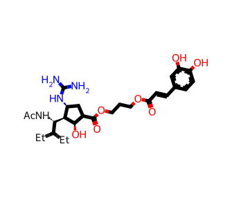 CCC(CC)[C@H](NC(C)=O)[C@@H]1[C@H](O)C(C(=O)OCCCOC(=O)/C=C/c2ccc(O)c(O)c2)C[C@H]1NC(N)N